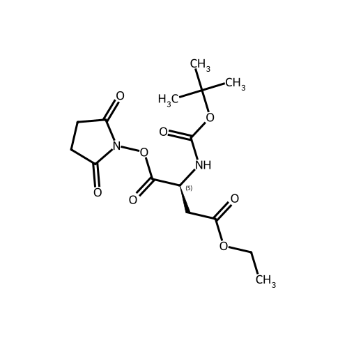 CCOC(=O)C[C@H](NC(=O)OC(C)(C)C)C(=O)ON1C(=O)CCC1=O